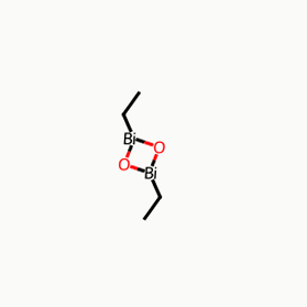 C[CH2][Bi]1[O][Bi]([CH2]C)[O]1